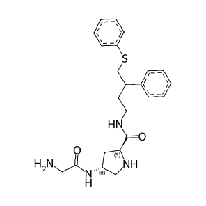 NCC(=O)N[C@H]1CN[C@H](C(=O)NCCC(CSc2ccccc2)c2ccccc2)C1